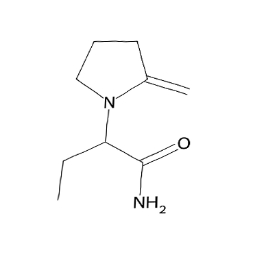 C=C1CCCN1C(CC)C(N)=O